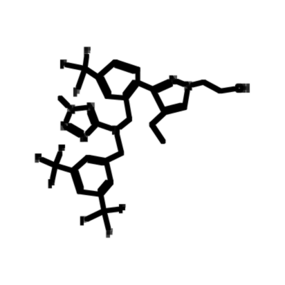 CCc1cn(CCO)nc1-c1ccc(C(F)(F)F)cc1CN(Cc1cc(C(F)(F)F)cc(C(F)(F)F)c1)c1nnn(C)n1